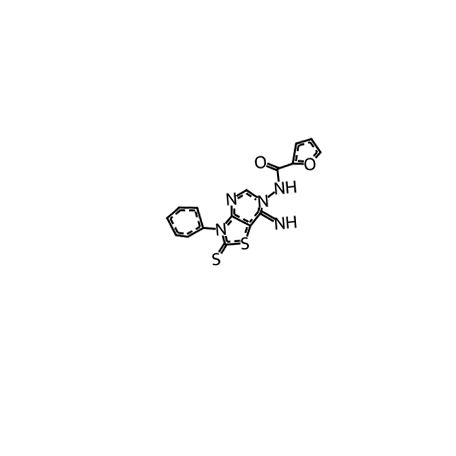 N=c1c2sc(=S)n(-c3ccccc3)c2ncn1NC(=O)c1ccco1